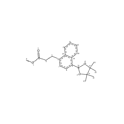 COC(=O)CCc1ccc(B2OC(C)(C)C(C)(C)O2)c2ccccc12